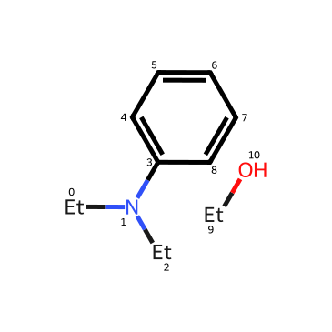 CCN(CC)c1ccccc1.CCO